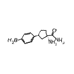 Bc1ccc([C@H]2CC[C@@](N)(C(N)=O)C2)cc1